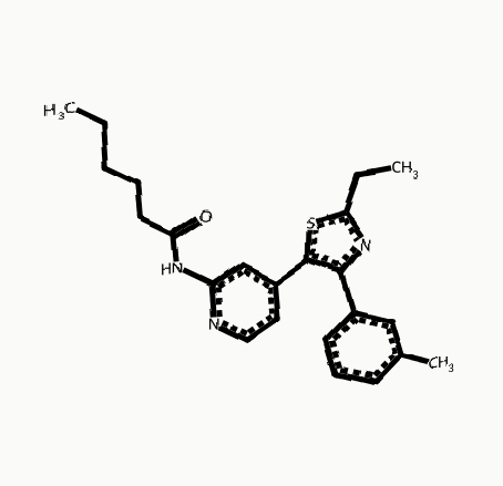 CCCCCC(=O)Nc1cc(-c2sc(CC)nc2-c2cccc(C)c2)ccn1